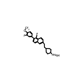 CCCCCCCC1CCC(CCc2ccc3c(F)c(-c4ccc(OC(F)(F)F)c(F)c4)ccc3c2)CC1